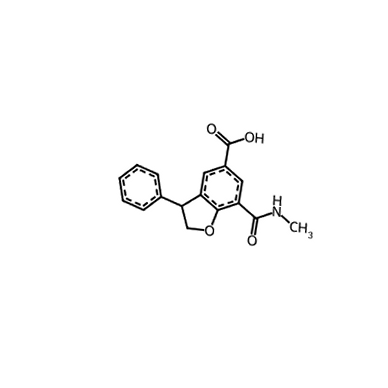 CNC(=O)c1cc(C(=O)O)cc2c1OCC2c1ccccc1